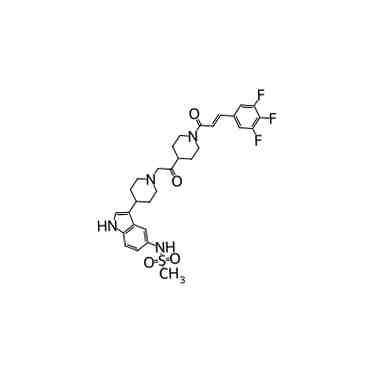 CS(=O)(=O)Nc1ccc2[nH]cc(C3CCN(CC(=O)C4CCN(C(=O)C=Cc5cc(F)c(F)c(F)c5)CC4)CC3)c2c1